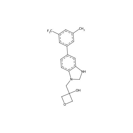 Cc1cc(-c2ccc3c(c2)NCN3CC2(O)COC2)cc(C(F)(F)F)c1